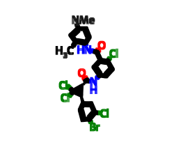 CNc1ccc(NC(=O)c2cc(NC(=O)[C@@H]3[C@@H](c4ccc(Br)c(Cl)c4)C3(Cl)Cl)ccc2Cl)c(C)c1